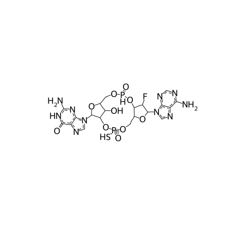 Nc1nc2c(ncn2C2OC3CO[PH](=O)OC4C(CO[P@@](=O)(S)OC2C3O)OC(n2cnc3c(N)ncnc32)C4F)c(=O)[nH]1